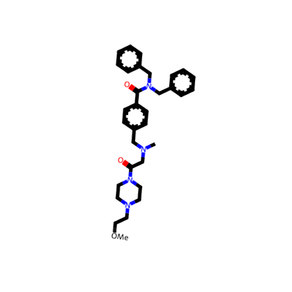 COCCN1CCN(C(=O)CN(C)Cc2ccc(C(=O)N(Cc3ccccc3)Cc3ccccc3)cc2)CC1